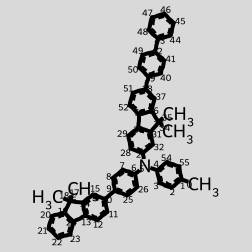 Cc1ccc(N(c2ccc(-c3ccc4c(c3)C(C)(C)c3ccccc3-4)cc2)c2ccc3c(c2)C(C)(C)c2cc(-c4ccc(-c5ccccc5)cc4)ccc2-3)cc1